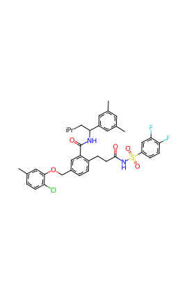 Cc1cc(C)cc(C(CC(C)C)NC(=O)c2cc(COc3cc(C)ccc3Cl)ccc2CCC(=O)NS(=O)(=O)c2ccc(F)c(F)c2)c1